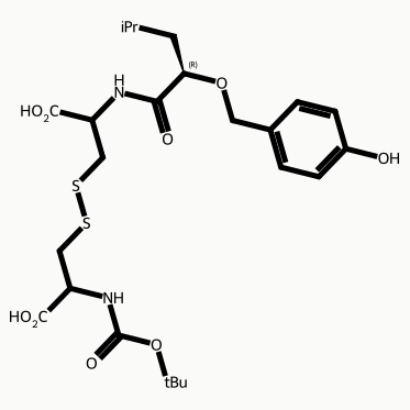 CC(C)C[C@@H](OCc1ccc(O)cc1)C(=O)NC(CSSCC(NC(=O)OC(C)(C)C)C(=O)O)C(=O)O